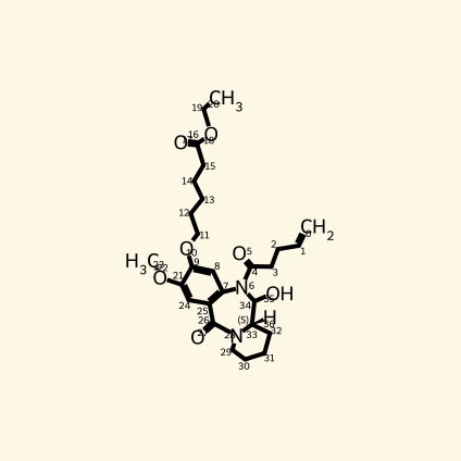 C=CCCC(=O)N1c2cc(OCCCCCC(=O)OCC)c(OC)cc2C(=O)N2CCCC[C@H]2C1O